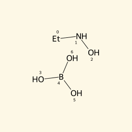 CCNO.OB(O)O